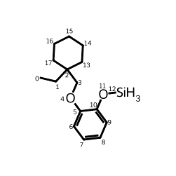 CCC1(COc2ccccc2O[SiH3])CCCCC1